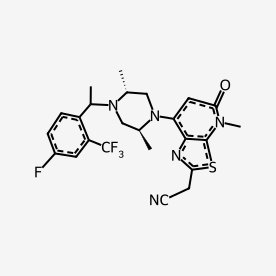 CC(c1ccc(F)cc1C(F)(F)F)N1C[C@H](C)N(c2cc(=O)n(C)c3sc(CC#N)nc23)C[C@H]1C